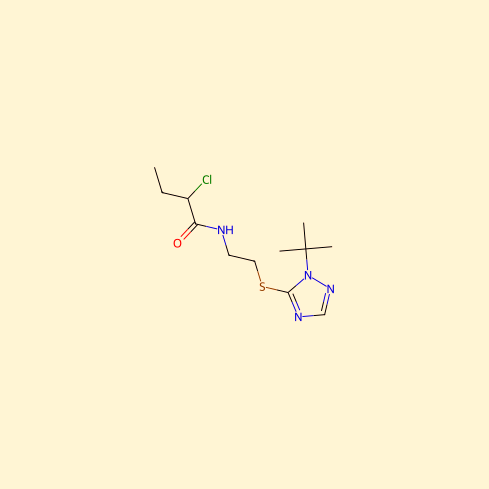 CCC(Cl)C(=O)NCCSc1ncnn1C(C)(C)C